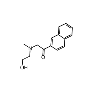 CN(CCO)CC(=O)c1ccc2ccccc2c1